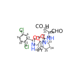 CC(C)[C@H](NC(=O)c1cc(Cl)ccc1Cl)C(=O)[N+]1(C(=O)N[C@H](C=O)CC(=O)O)CCCC1